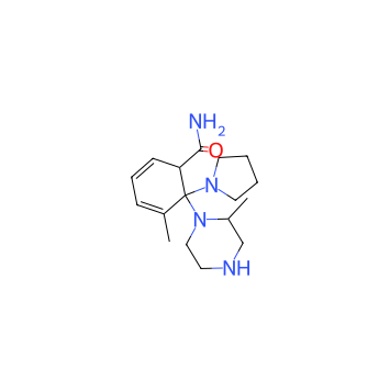 CC1=CC=CC(C(N)=O)C1(N1CCCC1)N1CCNCC1C